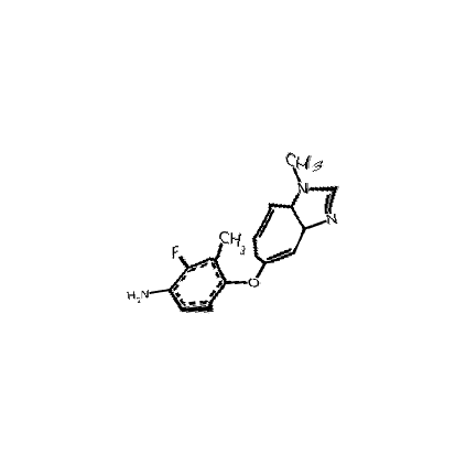 Cc1c(OC2=CC3N=CN(C)C3C=C2)ccc(N)c1F